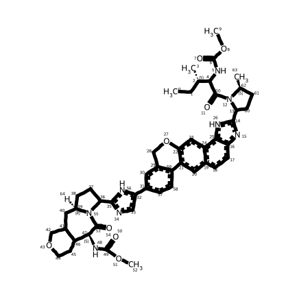 CC[C@H](C)C(NC(=O)OC)C(=O)N1C(c2nc3ccc4cc5c(cc4c3[nH]2)OCc2cc(-c3cnc(C4CC[C@@H]6CC7COCCC7[C@H](NC(=O)OC)C(=O)N46)[nH]3)ccc2-5)CC[C@@H]1C